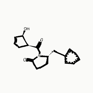 O=C1CC[C@@H](Cc2ccccc2)N1C(=O)[C@H]1CC=C[C@H]1O